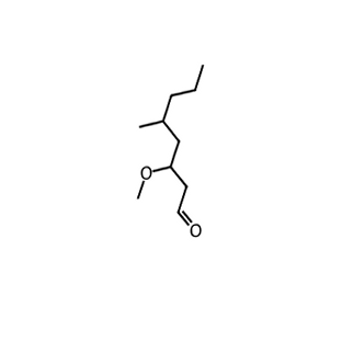 CCCC(C)CC(CC=O)OC